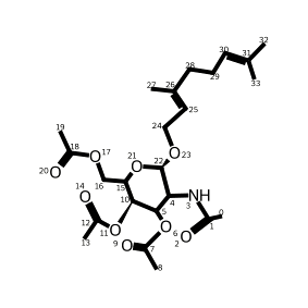 CC(=O)NC1C(OC(C)=O)[C@@H](OC(C)=O)C(COC(C)=O)O[C@H]1OC/C=C(\C)CCC=C(C)C